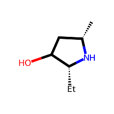 CC[C@H]1N[C@@H](C)CC1O